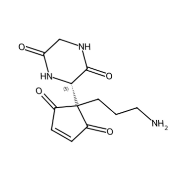 NCCCC1([C@@H]2NC(=O)CNC2=O)C(=O)C=CC1=O